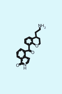 NCCC1CCOc2c(C(=O)c3cccc4c(=O)[nH]ccc34)cccc21